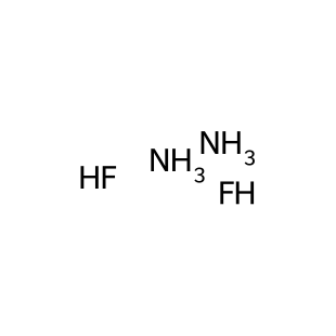 F.F.N.N